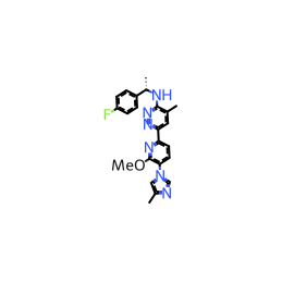 COc1nc(-c2cc(C)c(N[C@@H](C)c3ccc(F)cc3)nn2)ccc1-n1cnc(C)c1